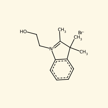 CC1=[N+](CCO)c2ccccc2C1(C)C.[Br-]